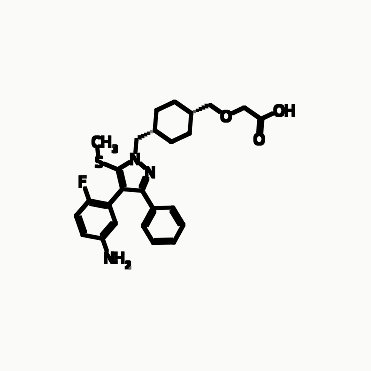 CSc1c(-c2cc(N)ccc2F)c(-c2ccccc2)nn1C[C@H]1CC[C@@H](COCC(=O)O)CC1